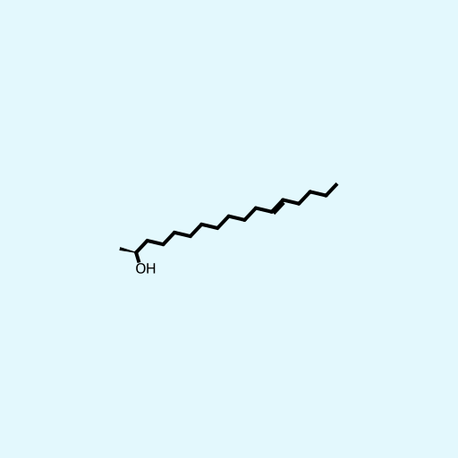 CCCCC=CCCCCCCCCC[C@H](C)O